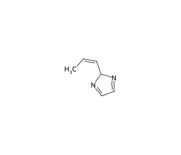 C/C=C\C1N=CC=N1